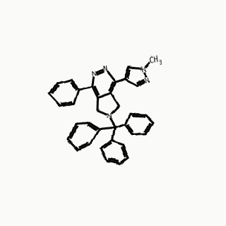 Cn1cc(-c2nnc(-c3ccccc3)c3c2CN(C(c2ccccc2)(c2ccccc2)c2ccccc2)C3)cn1